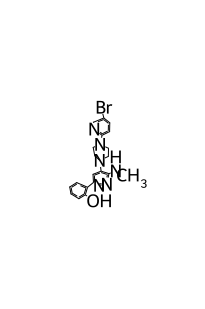 CNc1nnc(-c2ccccc2O)cc1N1CCN(c2ccc(Br)cn2)CC1